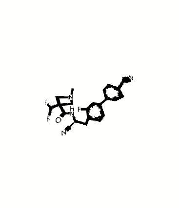 CN1CC(C(=O)N[C@H](C#N)Cc2ccc(-c3ccc(C#N)cc3)cc2F)(C(F)F)C1